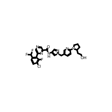 O=C(Nc1cnn(Cc2ccc(N3CCCC3CCO)nc2)c1)c1cncc(-c2c(C(F)F)ccc(Cl)c2F)n1